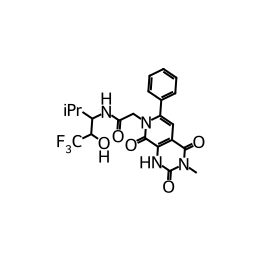 CC(C)C(NC(=O)Cn1c(-c2ccccc2)cc2c(=O)n(C)c(=O)[nH]c2c1=O)C(O)C(F)(F)F